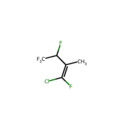 CC(=C(F)Cl)C(F)C(F)(F)F